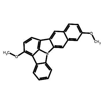 COc1ccc2cc3c4ccc(OC)c5c6ccccc6n(c3cc2c1)c45